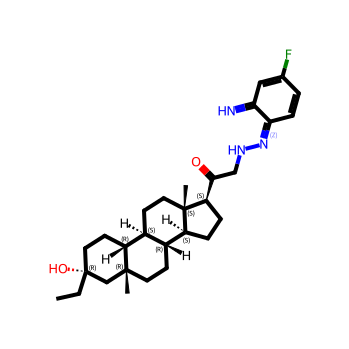 CC[C@@]1(O)CC[C@@H]2[C@H]3CC[C@]4(C)[C@@H](C(=O)CN/N=C5/C=CC(F)=CC5=N)CC[C@H]4[C@@H]3CC[C@]2(C)C1